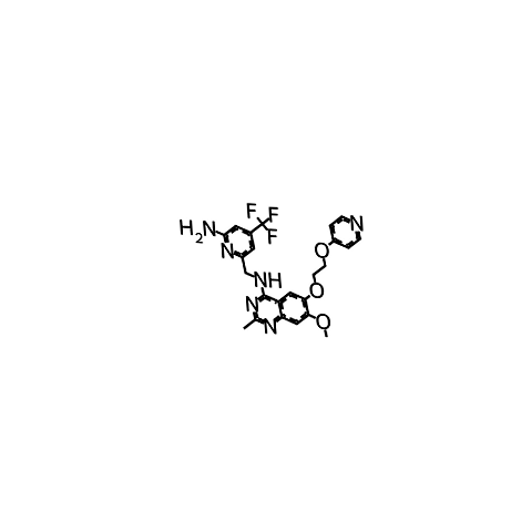 COc1cc2nc(C)nc(NCc3cc(C(F)(F)F)cc(N)n3)c2cc1OCCOc1ccncc1